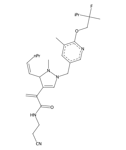 C=C(C(=O)NCCC#N)C1=CN(Cc2cnc(OCC(C)(F)C(C)C)c(C)c2)N(C)C1/C=C\CCC